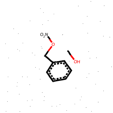 CO.O=[N+]([O-])OCc1ccccc1